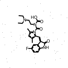 CCN(CC)CCN(C(=O)O)C(=O)n1c(C)cc(C)c1C=C1C(=O)Nc2ccc(F)cc21